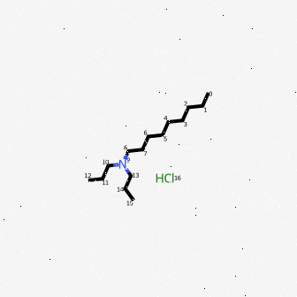 CCCCCCCCCN(CCC)CCC.Cl